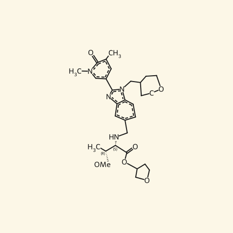 CO[C@H](C)[C@H](NCc1ccc2c(c1)nc(-c1cc(C)c(=O)n(C)c1)n2CC1CCOCC1)C(=O)OC1CCOC1